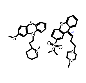 CN1CCN(CC/C=C2/c3ccccc3Sc3ccc(S(=O)(=O)N(C)C)cc32)CC1.CSc1ccc2c(c1)N(CCC1CCCCN1C)c1ccccc1S2